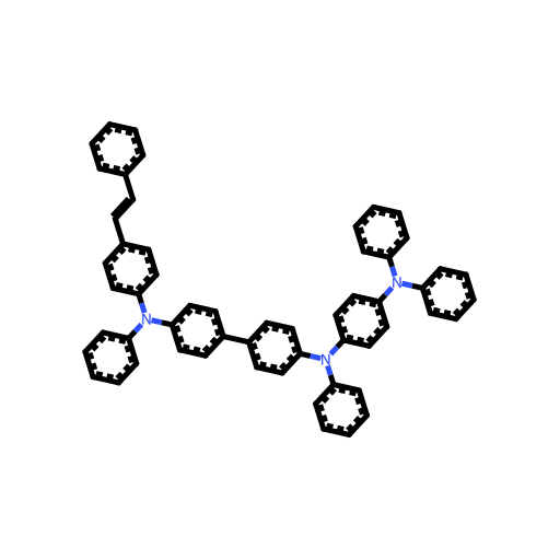 C(=Cc1ccc(N(c2ccccc2)c2ccc(-c3ccc(N(c4ccccc4)c4ccc(N(c5ccccc5)c5ccccc5)cc4)cc3)cc2)cc1)c1ccccc1